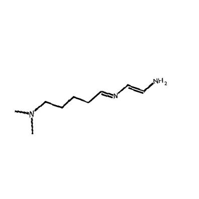 CN(C)CCCCC=NC=[C]N